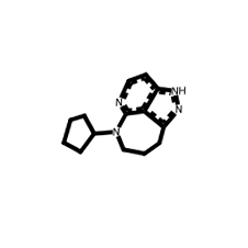 c1cc2[nH]nc3c2c(n1)N(C1CCCC1)CCC3